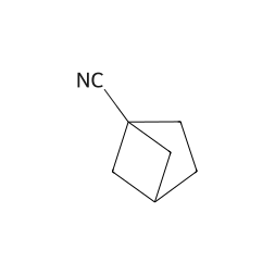 N#CC12CCC(C1)C2